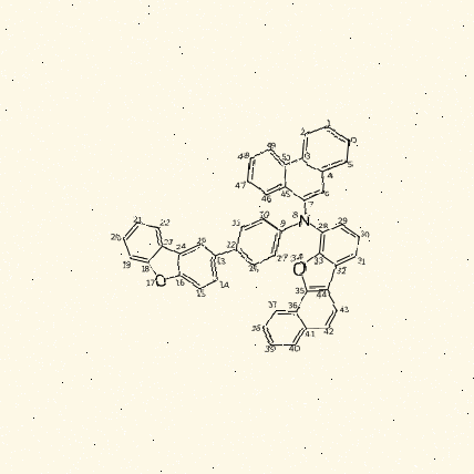 c1ccc2c(c1)cc(N(c1ccc(-c3ccc4oc5ccccc5c4c3)cc1)c1cccc3c1oc1c4ccccc4ccc31)c1ccccc12